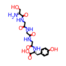 N[C@@H](CO)C(=O)NCC(=O)NCC(=O)NCC(=O)N[C@@H](Cc1ccc(O)cc1)C(=O)O